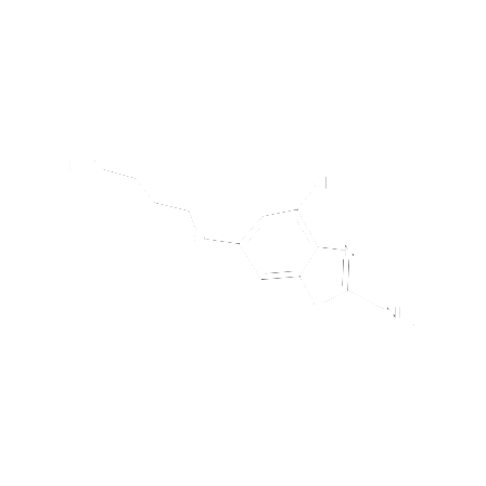 CCCCOc1cc(Cl)c2nc(N)sc2c1